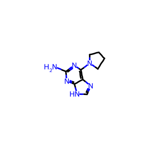 Nc1nc(N2CCCC2)c2nc[nH]c2n1